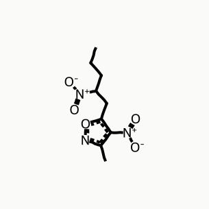 CCCC(Cc1onc(C)c1[N+](=O)[O-])[N+](=O)[O-]